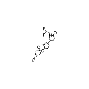 O=c1ccc(-c2ccc3c(c2)COC2(CCN(C4CCC4)CC2)O3)cn1CC(F)F